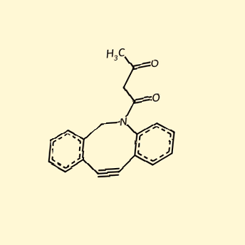 CC(=O)CC(=O)N1Cc2ccccc2C#Cc2ccccc21